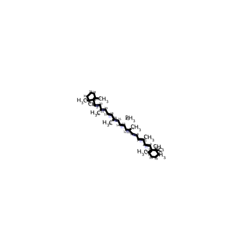 CC1=C(/C=C/C(C)=C/C=C/C(C)=C/C=C/C=C(C)/C=C/C=C(C)/C=C/C2=C(C)CCCC2(C)C)C(C)(C)CCC1.P